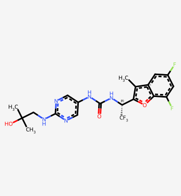 Cc1c([C@@H](NC(=O)Nc2cnc(NCC(C)(C)O)nc2)C(F)(F)F)oc2c(F)cc(F)cc12